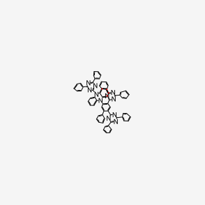 c1ccc(-c2nc(-c3ccccc3)nc(-c3cc(-c4nc(-c5ccccc5)nc(-c5ccccc5)n4)c(N4c5ccccc5N(c5nc(-c6ccccc6)nc(-c6ccccc6)n5)c5ccccc54)cc3-c3ccccc3)n2)cc1